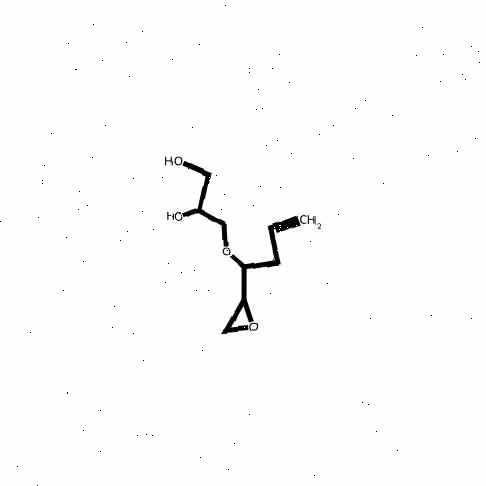 C=CCC(OCC(O)CO)C1CO1